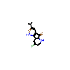 CC(C)c1cc2c(=S)c3[nH]ccc(F)cc3c2[nH]s1